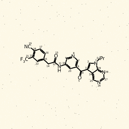 CC(C)n1cc(C(=O)c2cncc(NC(=O)Cc3ccc(C#N)c(C(F)(F)F)c3)c2)c2cncnc21